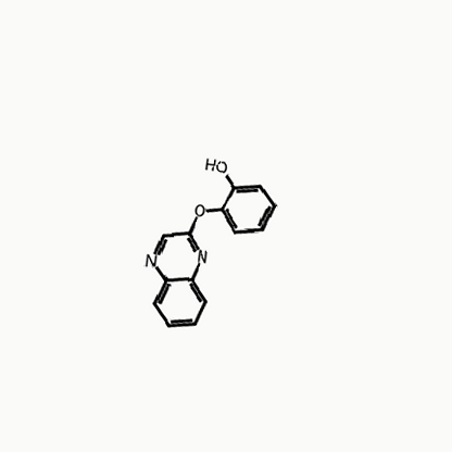 Oc1ccccc1Oc1cnc2ccccc2n1